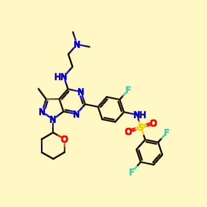 Cc1nn(C2CCCCO2)c2nc(-c3ccc(NS(=O)(=O)c4cc(F)ccc4F)c(F)c3)nc(NCCN(C)C)c12